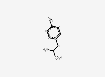 Cc1ccc(CC(N)C(=O)O)cc1